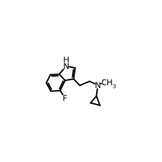 CN(CCc1c[nH]c2cccc(F)c12)C1CC1